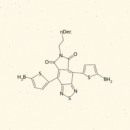 Bc1ccc(-c2c3c(c(-c4ccc(B)s4)c4nsnc24)C(=O)N(CCCCCCCCCCCC)C3=O)s1